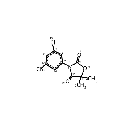 CC1(C)OC(=O)N(c2cc(Cl)cc(Cl)c2)C1=O